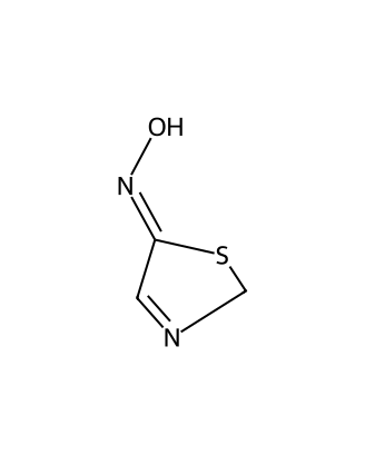 ON=C1C=NCS1